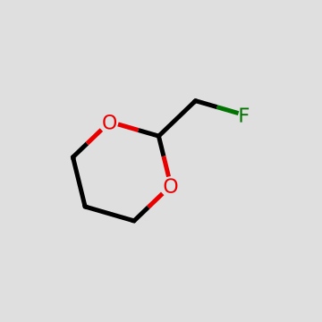 FCC1OCCCO1